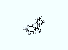 CN1C=CN(C(=O)N2C=CN(C)C=C2)C=C1